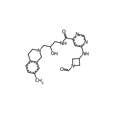 Cc1ccc2c(c1)CN(CC(O)CNC(=O)c1cc(NC3CN(C=O)C3)ncn1)CC2